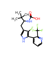 CC(C)(C)C(Cc1c[nH]c(-c2cccnc2C(F)(F)F)c1F)NC(=O)O